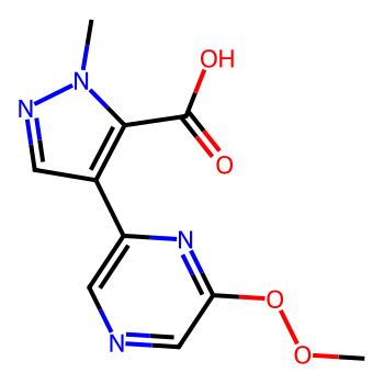 COOc1cncc(-c2cnn(C)c2C(=O)O)n1